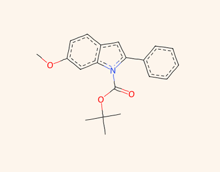 COc1ccc2cc(-c3ccccc3)n(C(=O)OC(C)(C)C)c2c1